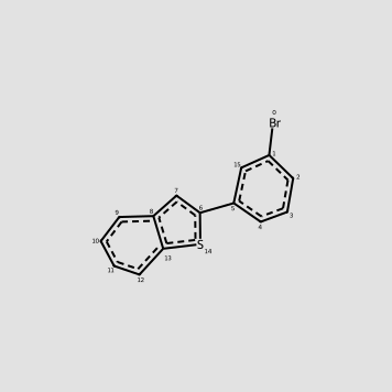 Brc1cccc(-c2cc3ccccc3s2)c1